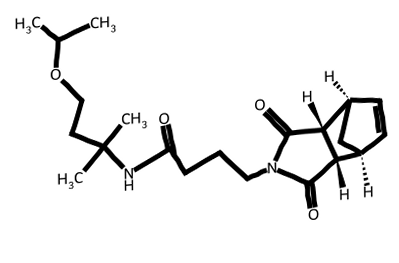 CC(C)OCCC(C)(C)NC(=O)CCCN1C(=O)[C@@H]2[C@H](C1=O)[C@H]1C=C[C@@H]2C1